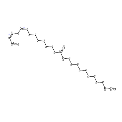 CCCCC/C=C\C/C=C\CCCCCCCC(=O)OCCCCCCCCCOC=O